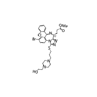 COC(=O)CC[C@@H]1N=C(c2ccccc2Cl)c2cc(Br)ccc2-n2c(SCCCN3CCN(CCO)CC3)nnc21